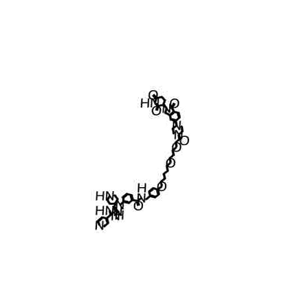 O=C1CCC(N2Cc3cc(N4CCN(C(=O)COCCCOCCCCCOc5ccc(CNC(=O)c6cccc(NC7(c8nnc(-c9ccncc9)[nH]8)CCNCC7)c6)cc5)CC4)ccc3C2=O)C(=O)N1